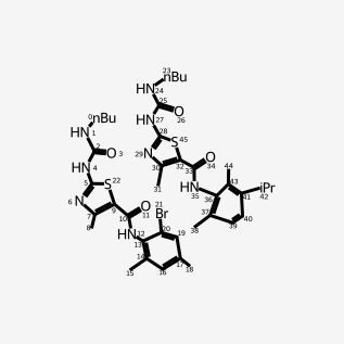 CCCCNC(=O)Nc1nc(C)c(C(=O)Nc2c(C)cc(C)cc2Br)s1.CCCCNC(=O)Nc1nc(C)c(C(=O)Nc2c(C)ccc(C(C)C)c2C)s1